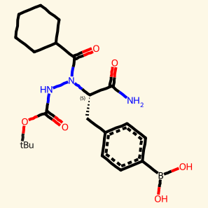 CC(C)(C)OC(=O)NN(C(=O)C1CCCCC1)[C@@H](Cc1ccc(B(O)O)cc1)C(N)=O